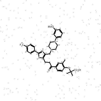 CCOC(=O)C(C)(C)Oc1ccc(C(=O)CCc2sc(-c3ccc(C(F)(F)F)cc3)nc2CN2CCN(c3cccc(OC)c3)CC2)cc1C